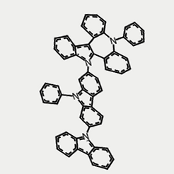 c1ccc(N2c3ccccc3-c3c(n(-c4ccc5c6ccc(-n7c8ccccc8c8ccccc87)cc6n(-c6ccccc6)c5c4)c4ccccc34)-c3ccccc32)cc1